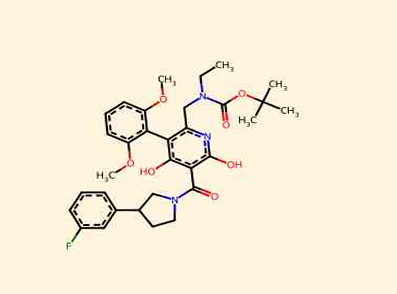 CCN(Cc1nc(O)c(C(=O)N2CCC(c3cccc(F)c3)C2)c(O)c1-c1c(OC)cccc1OC)C(=O)OC(C)(C)C